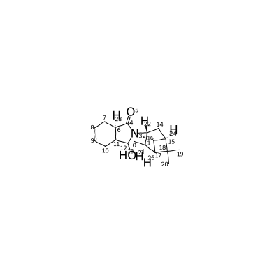 C[C@H]1[C@H](N2C(=O)[C@@H]3CC=CCC3C2O)C[C@@H]2C[C@H]1C2(C)C